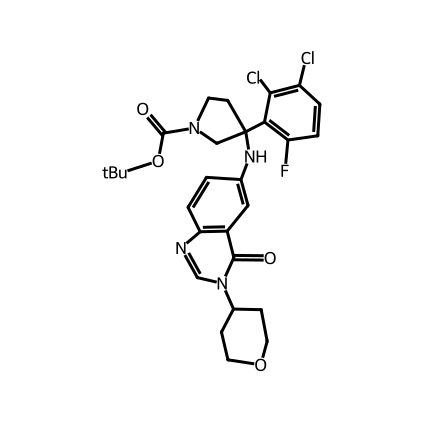 CC(C)(C)OC(=O)N1CCC(Nc2ccc3ncn(C4CCOCC4)c(=O)c3c2)(c2c(F)ccc(Cl)c2Cl)C1